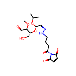 COC(C=O)[C@@H](CO)O[C@H](/C=N\NCCCC(=O)N1C(=O)C=CC1=O)OC(C)C